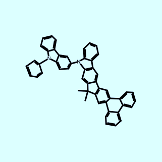 CC1(C)c2cc3c4ccccc4c4ccccc4c3cc2-c2cc3c4ccccc4n(-c4ccc5c(c4)c4ccccc4n5-c4ccccc4)c3cc21